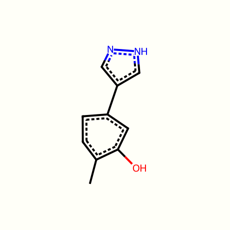 Cc1ccc(-c2cn[nH]c2)cc1O